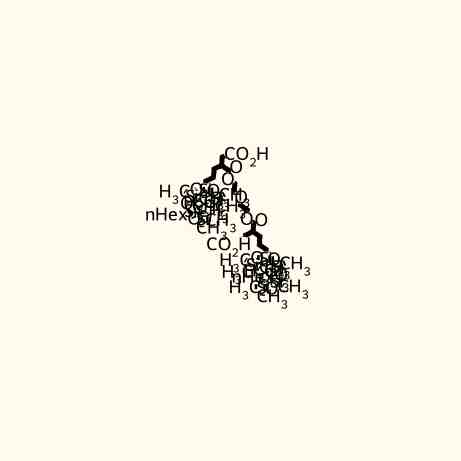 CCCCCC[Si](C)(O[Si](C)(C)C)O[Si](C)(C)O[Si](C)(CCCC(CC(=O)O)C(=O)OCCOCCOC(=O)C(CCC[Si](C)(O[Si](C)(C)C)O[Si](C)(C)O[Si](C)(CCCCCC)O[Si](C)(C)C)CC(=O)O)O[Si](C)(C)C